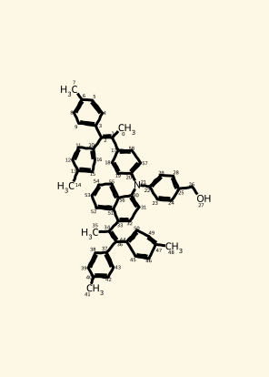 CC(=C(c1ccc(C)cc1)c1ccc(C)cc1)c1ccc(N(c2ccc(CO)cc2)c2ccc(C(C)=C(c3ccc(C)cc3)c3ccc(C)cc3)c3ccccc23)cc1